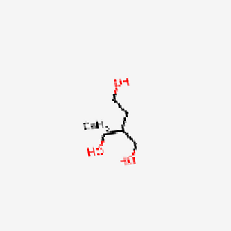 OCCC(CO)CO.[CaH2]